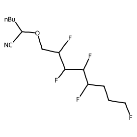 CCCCC(C#N)OCC(F)C(F)C(F)C(F)CCCF